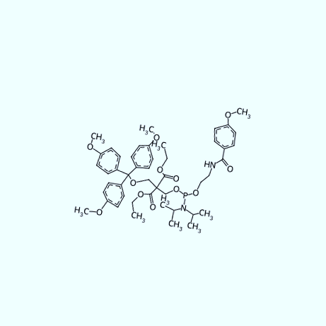 CCOC(=O)C(COP(OCCNC(=O)c1ccc(OC)cc1)N(C(C)C)C(C)C)(COC(c1ccc(OC)cc1)(c1ccc(OC)cc1)c1ccc(OC)cc1)C(=O)OCC